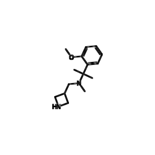 COc1ccccc1C(C)(C)N(C)CC1CNC1